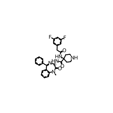 CN1C(=O)[C@@H](NC(=O)C2(NC(=O)Cc3cc(F)cc(F)c3)CCNCC2)N=C(c2ccccc2)c2ccccc21